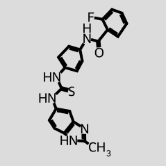 Cc1nc2cc(NC(=S)Nc3ccc(NC(=O)c4ccccc4F)cc3)ccc2[nH]1